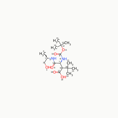 C[C@H](CO)NC(=O)[C@@H](NC(=O)OC(C)(C)C)C(C(=O)O)C(C)(C)C